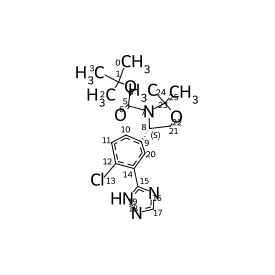 CC(C)(C)OC(=O)N1[C@@H](c2ccc(Cl)c(-c3ncn[nH]3)c2)COC1(C)C